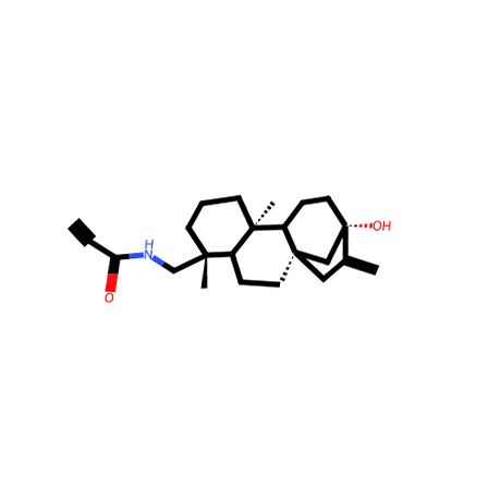 C#CC(=O)NC[C@]1(C)CCC[C@]2(C)C1CC[C@]13CC(=C)[C@](O)(CCC12)C3